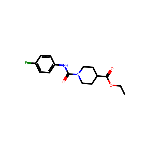 CCOC(=O)C1CCN(C(=O)Nc2ccc(F)cc2)CC1